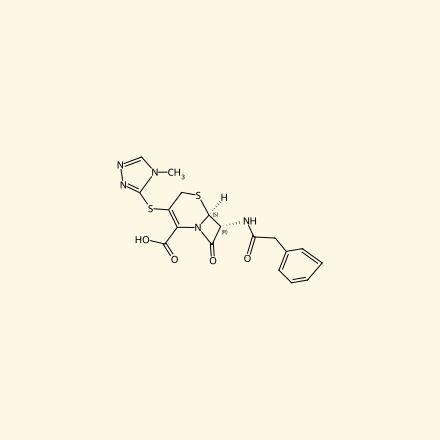 Cn1cnnc1SC1=C(C(=O)O)N2C(=O)[C@@H](NC(=O)Cc3ccccc3)[C@@H]2SC1